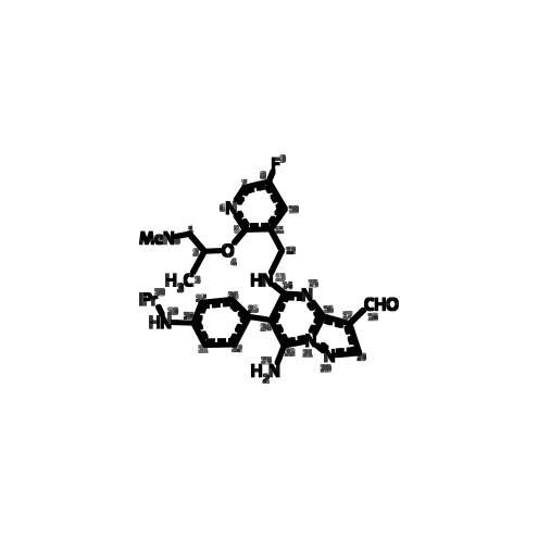 CNCC(C)Oc1ncc(F)cc1CNc1nc2c(C=O)cnn2c(N)c1-c1ccc(NC(C)C)cc1